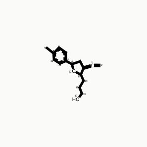 C=C=C1CC(c2ccc(C)cc2)OC1CCCO